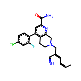 C/C=C\C=C(/C=N)CN1CCc2c(-c3ccc(Cl)cc3F)cc(C(N)=O)nc2C1